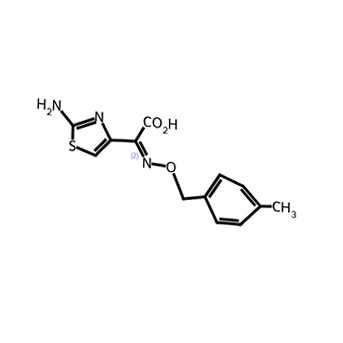 Cc1ccc(CO/N=C(\C(=O)O)c2csc(N)n2)cc1